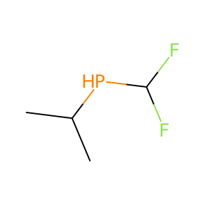 CC(C)PC(F)F